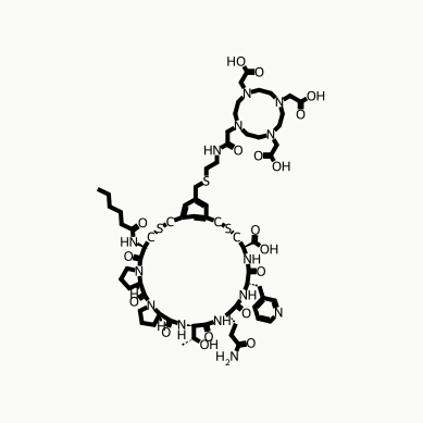 CCCCCC(=O)N[C@H]1CSCc2cc(CSCCNC(=O)CN3CCN(CC(=O)O)CCN(CC(=O)O)CCN(CC(=O)O)CC3)cc(c2)CSC[C@@H](C(=O)O)NC(=O)[C@H](Cc2cccnc2)NC(=O)[C@H](CCC(N)=O)NC(=O)[C@H]([C@@H](C)O)NC(=O)[C@@H]2CCCN2C(=O)[C@@H]2CCCN2C1=O